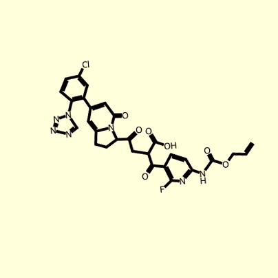 C=CCOC(=O)Nc1ccc(C(=O)C(CC(=O)C2CCc3cc(-c4cc(Cl)ccc4-n4cnnn4)cc(=O)n32)C(=O)O)c(F)n1